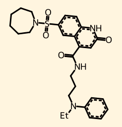 CCN(CCCNC(=O)c1cc(=O)[nH]c2ccc(S(=O)(=O)N3CCCCCC3)cc12)c1ccccc1